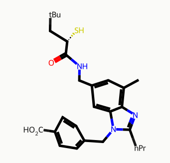 CCCc1nc2c(C)cc(CNC(=O)[C@@H](S)CC(C)(C)C)cc2n1Cc1ccc(C(=O)O)cc1